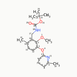 COc1c(Oc2cccc(C)n2)ccc(C)c1CNC(=O)OC(C)(C)C